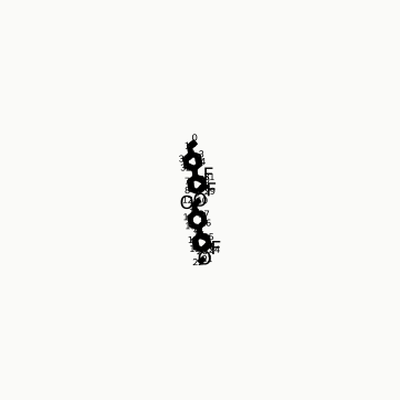 C=Cc1ccc(-c2ccc(OC(=O)C3CCC(c4ccc(OC)c(F)c4)CC3)c(F)c2F)cc1